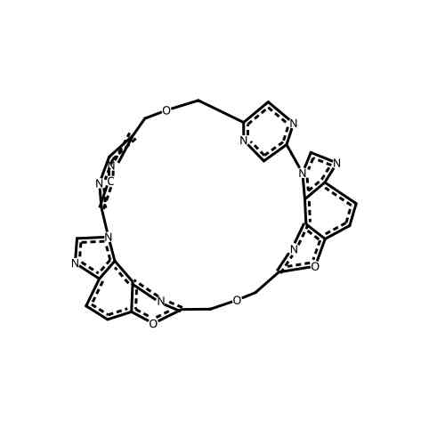 c1nc2cnc1COCc1cnc(cn1)-n1cnc3ccc4oc(nc4c31)COCc1nc3c(ccc4ncn-2c43)o1